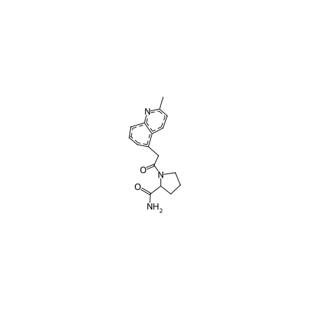 Cc1ccc2c(CC(=O)N3CCCC3C(N)=O)cccc2n1